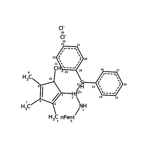 CCCCC[NH][Hf+2]([C]1=C(C)C(C)=C(C)C1C)[SiH](c1ccccc1)c1ccccc1.[Cl-].[Cl-]